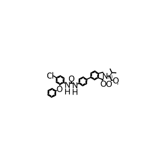 COC(=O)[C@H](C(C)C)N1Cc2ccc(-c3ccc(NC(=O)Nc4ccc(Cl)cc4Oc4ccccc4)cc3)cc2C1=O